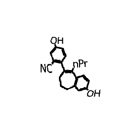 CCCC1=C(c2ccc(O)cc2C#N)CCCc2cc(O)ccc21